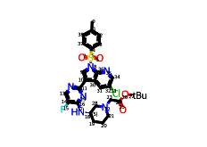 Cc1ccc(S(=O)(=O)n2cc(-c3ncc(F)c(N[C@H]4CCCN(CC(=O)OC(C)(C)C)C4)n3)c3cc(Cl)cnc32)cc1